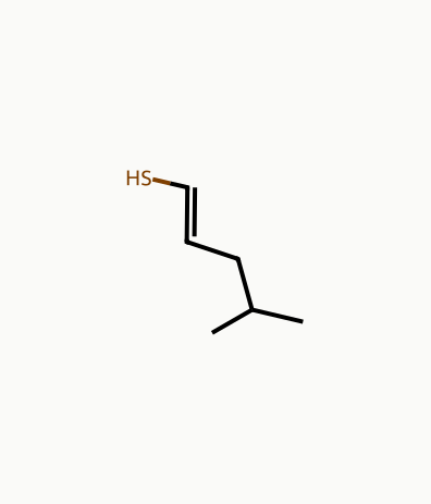 CC(C)C/C=C/S